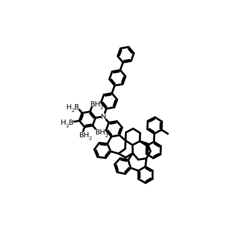 Bc1c(B)c(B)c(N(c2ccc(-c3ccc(-c4ccccc4)cc3)cc2)c2ccc3c(c2)-c2ccccc2C2CC34CCCC3(c5ccccc5-c5ccccc5C)CCC5CC(C2)(c2ccccc2-c2ccccc25)C34)c(B)c1B